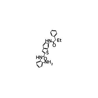 CC[C@H](C(=O)Nc1ccc2cc(C(=O)Nc3ccccc3N)sc2c1)c1ccccc1